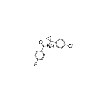 O=C(NC1(c2ccc(Cl)cc2)CC1)c1[c]cc(F)cc1